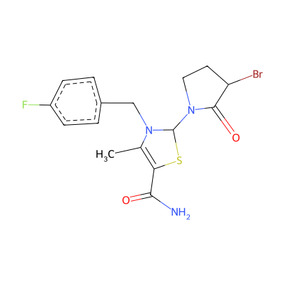 CC1=C(C(N)=O)SC(N2CCC(Br)C2=O)N1Cc1ccc(F)cc1